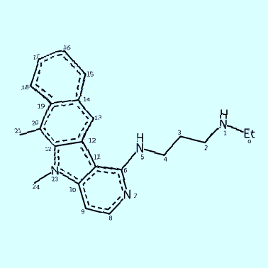 CCNCCCNc1nccc2c1c1cc3ccccc3c(C)c1n2C